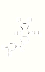 N[C@@H](c1cc(Cl)c(Cl)cc1O)C1CCN(C(=O)[C@H]2CCC(=O)NC2)CC1